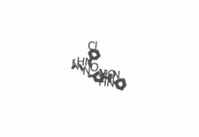 CN(C)CCN(Cc1ccc(C(=O)Nc2ccccc2N)nc1)C(=O)Nc1cccc(Cl)c1